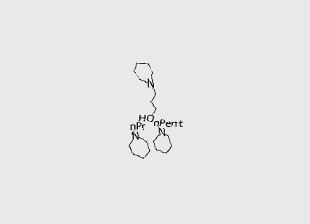 CCCCCN1CCCCC1.CCCN1CCCCC1.OCCCN1CCCCC1